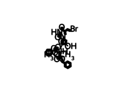 CC(C)(NP(=O)(OC[C@H]1O[C@@H](n2cc(/C=C/Br)c(=O)[nH]c2=O)C[C@H]1O)Oc1ccccc1)C(=O)OCc1ccccc1